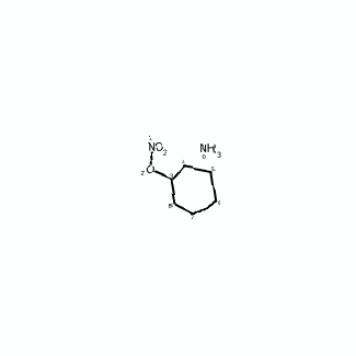 N.O=[N+]([O-])OC1CCCCC1